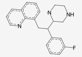 Fc1cccc(C(Cc2cccc3cccnc23)C2CNCC[N]2)c1